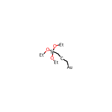 CCO[Si](CC[CH2][Au])(OCC)OCC